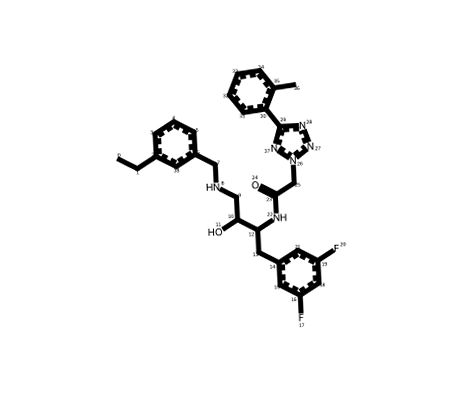 CCc1cccc(CNCC(O)C(Cc2cc(F)cc(F)c2)NC(=O)Cn2nnc(-c3ccccc3C)n2)c1